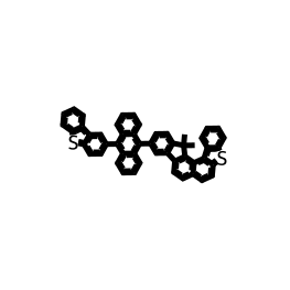 CC1(C)c2ccc(-c3c4ccccc4c(-c4ccc5sc6ccccc6c5c4)c4ccccc34)cc2-c2ccc3ccc4sc5ccccc5c4c3c21